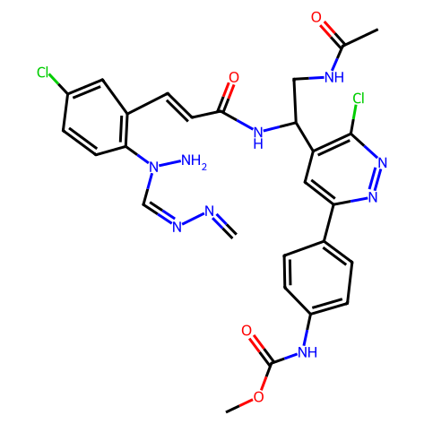 C=N/N=C\N(N)c1ccc(Cl)cc1/C=C/C(=O)NC(CNC(C)=O)c1cc(-c2ccc(NC(=O)OC)cc2)nnc1Cl